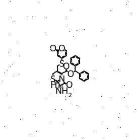 N[C@@H]1C(=O)N2C(C(=O)OC(c3ccccc3)c3ccccc3)=C(CSc3ccoc(=O)c3)CS[C@@H]12